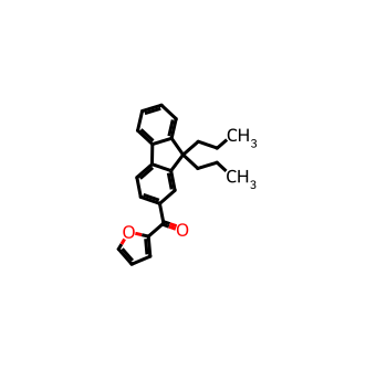 CCCC1(CCC)c2ccccc2-c2ccc(C(=O)c3ccco3)cc21